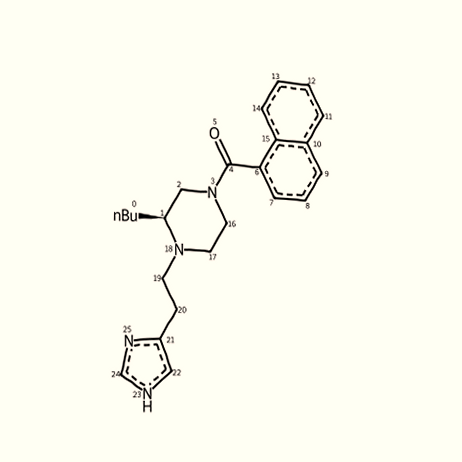 CCCC[C@H]1CN(C(=O)c2cccc3ccccc23)CCN1CCc1c[nH]cn1